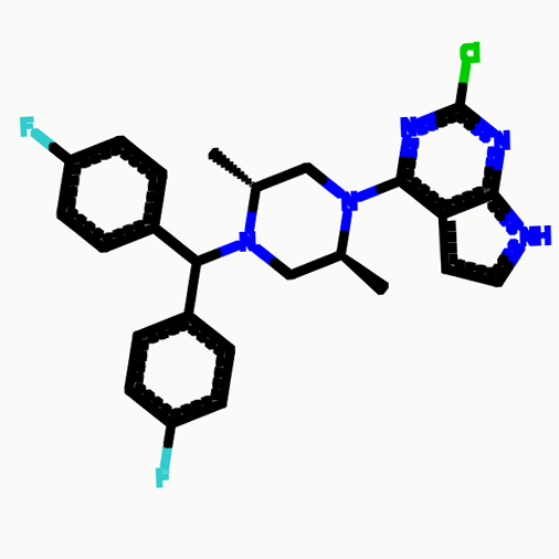 C[C@@H]1CN(c2nc(Cl)nc3[nH]ccc23)[C@@H](C)CN1C(c1ccc(F)cc1)c1ccc(F)cc1